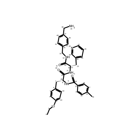 CCOc1ccc(C[C@@H](NC(=O)c2ccc(C)cc2)C(=O)N[C@@H](Cc2cccnc2)C(=O)NCc2ccc(CN)cc2)cc1